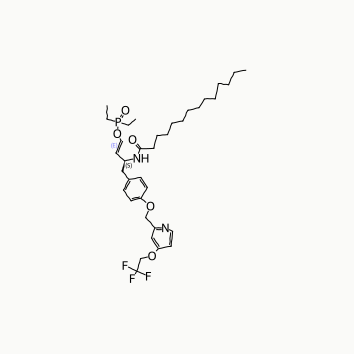 CCCCCCCCCCCCCC(=O)N[C@H](/C=C/OP(=O)(CC)CC)Cc1ccc(OCc2cc(OCC(F)(F)F)ccn2)cc1